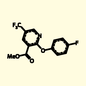 COC(=O)c1cc(C(F)(F)F)cnc1Oc1ccc(F)cc1